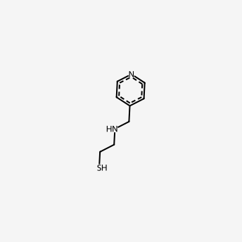 SCCNCc1ccncc1